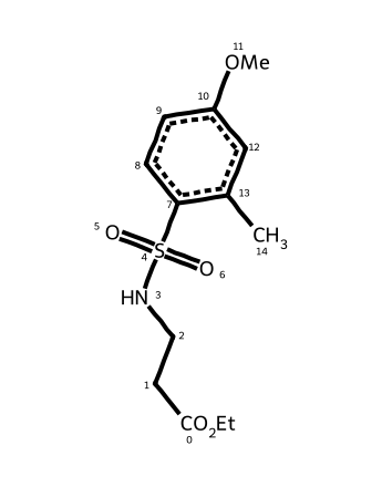 CCOC(=O)CCNS(=O)(=O)c1ccc(OC)cc1C